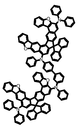 c1ccc(N(c2ccccc2)c2cc3c(c4cc5oc6ccccc6c5cc24)-c2cc4c(cc2C32c3ccccc3-c3ccccc32)cc(N(c2ccccc2)c2cccc(-c3ccc(N(c5ccccc5)c5cc6c(c7cc8c(cc57)oc5ccccc58)-c5cc7c(cc5C65c6ccccc6-c6ccccc65)cc(N(c5ccccc5)c5ccccc5)c5oc6ccccc6c57)cc3)c2)c2oc3ccccc3c24)cc1